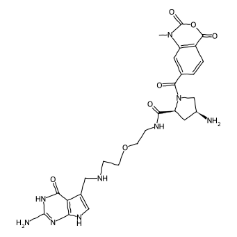 Cn1c(=O)oc(=O)c2ccc(C(=O)N3C[C@@H](N)C[C@H]3C(=O)NCCOCCNCc3c[nH]c4nc(N)[nH]c(=O)c34)cc21